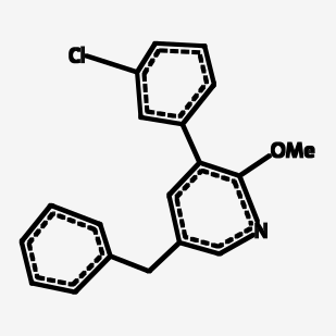 COc1ncc(Cc2ccccc2)cc1-c1cccc(Cl)c1